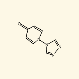 O=c1ccn(-n2cnnc2)cc1